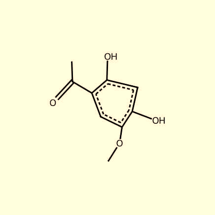 COc1cc(C(C)=O)c(O)cc1O